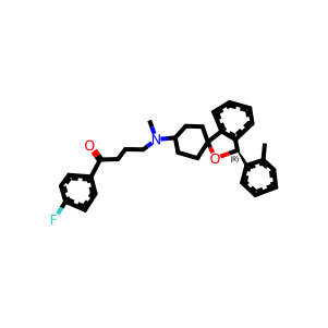 Cc1ccccc1[C@H]1OC2(CCC(N(C)CCCC(=O)c3ccc(F)cc3)CC2)c2ccccc21